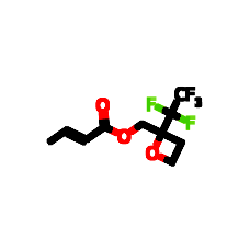 CC=CC(=O)OCC1(C(F)(F)C(F)(F)F)CCO1